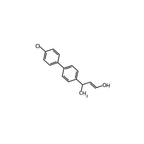 CC(C=CO)c1ccc(-c2ccc(Cl)cc2)cc1